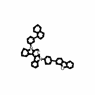 c1cc(-c2cccc3ccccc23)cc(-n2c3ccccc3c3c4c5ccccc5n(-c5ccc(-c6ccc7c(c6)oc6ccccc67)cc5)c4ccc32)c1